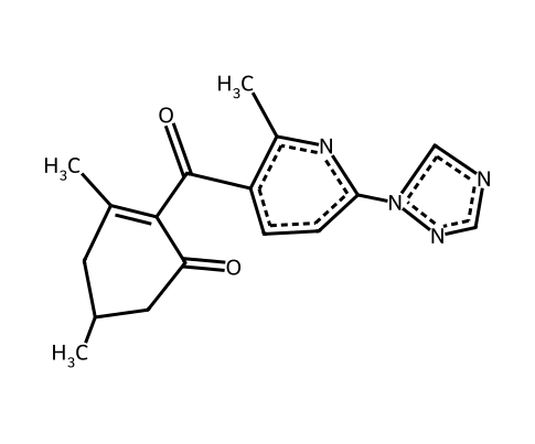 CC1=C(C(=O)c2ccc(-n3cncn3)nc2C)C(=O)CC(C)C1